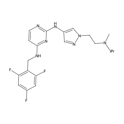 CC(C)N(C)CCn1cc(Nc2nccc(NCc3c(F)cc(F)cc3F)n2)cn1